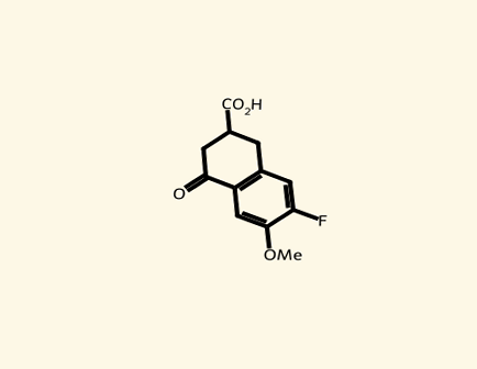 COc1cc2c(cc1F)CC(C(=O)O)CC2=O